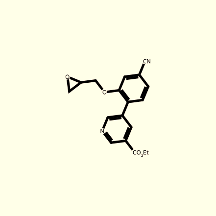 CCOC(=O)c1cncc(-c2ccc(C#N)cc2OCC2CO2)c1